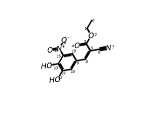 CCOC(=O)/C(C#N)=C\c1cc(O)c(O)c([N+](=O)[O-])c1